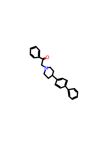 O=C(CN1CCC(c2ccc(-c3ccccc3)cc2)CC1)c1ccccc1